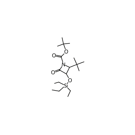 CC[Si](CC)(CC)OC1C(=O)N(C(=O)OC(C)(C)C)C1C(C)(C)C